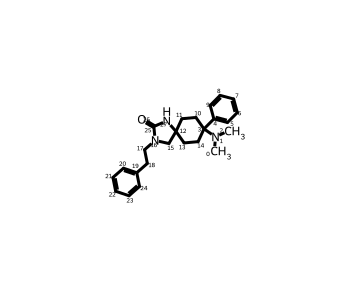 CN(C)C1(c2ccccc2)CCC2(CC1)CN(CCc1ccccc1)C(=O)N2